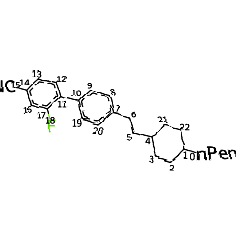 CCCCCC1CCC(CCc2ccc(-c3ccc(C#N)cc3F)cc2)CC1